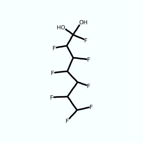 OC(O)(F)C(F)C(F)C(F)C(F)C(F)C(F)F